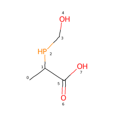 CC(PCO)C(=O)O